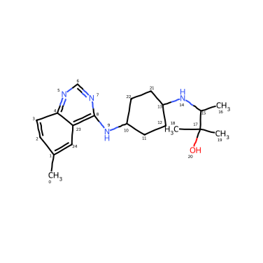 Cc1ccc2ncnc(NC3CCC(NC(C)C(C)(C)O)CC3)c2c1